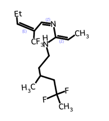 C\C=C(/N=C\C(=C/CC)C(F)(F)F)NCCC(C)CC(C)(F)F